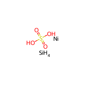 O=S(=O)(O)O.[Ni].[SiH4]